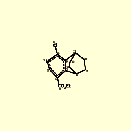 CCOC(=O)c1cnc(Cl)c2c1C1CCC2CC1